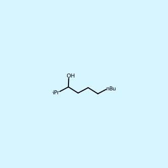 CCCCCCCC(O)[C](C)C